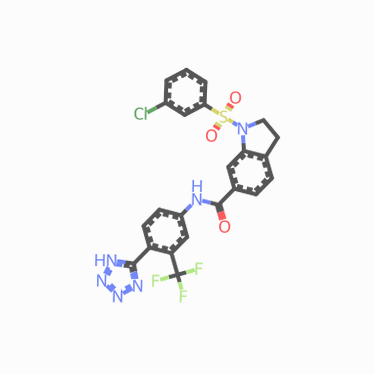 O=C(Nc1ccc(-c2nnn[nH]2)c(C(F)(F)F)c1)c1ccc2c(c1)N(S(=O)(=O)c1cccc(Cl)c1)CC2